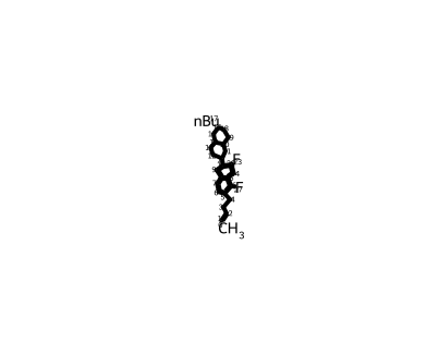 CC=CCCc1ccc2cc(C3CCC4CC(CCCC)CCC4C3)c(F)cc2c1F